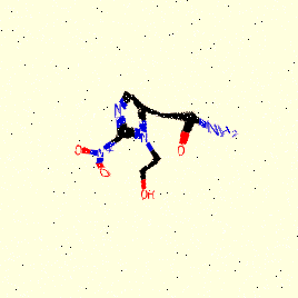 NC(=O)Cc1cnc([N+](=O)[O-])n1CCO